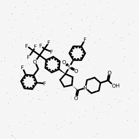 O=C(O)C1CCN(C(=O)[C@@H]2CC[C@](c3ccc(C(OCc4c(F)cccc4F)(C(F)(F)F)C(F)(F)F)cc3)(S(=O)(=O)c3ccc(F)cc3)C2)CC1